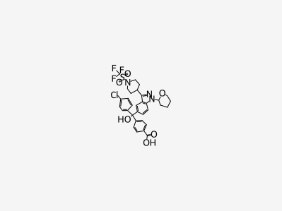 O=C(O)c1ccc(C(O)(c2ccc(Cl)cc2)c2ccc3c(c2)c(C2CCN(S(=O)(=O)C(F)(F)F)CC2)nn3C2CCCCO2)cc1